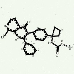 CCc1nccc2c(=O)c(-c3ccc(C4(NC(=O)OC(C)(C)C)CCC4)cc3)c(-c3ccccc3)oc12